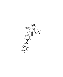 CC(C)(C)OC(=O)N[C@@H](Cc1ccc(OCc2ccccc2)cc1)[C@H](O)CN